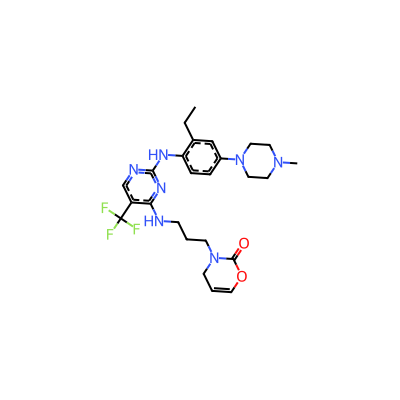 CCc1cc(N2CCN(C)CC2)ccc1Nc1ncc(C(F)(F)F)c(NCCCN2CC=COC2=O)n1